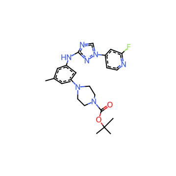 Cc1cc(Nc2ncn(-c3ccnc(F)c3)n2)cc(N2CCN(C(=O)OC(C)(C)C)CC2)c1